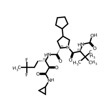 CC(F)(F)CC[C@H](NC(=O)[C@@H]1CC(C2CCCC2)CN1C(=O)[C@@H](NC(=O)O)C(C)(C)C)C(=O)C(=O)NC1CC1